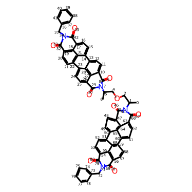 CC(COCC(C)N1C(=O)c2ccc3c4ccc5c6c(ccc(c7ccc(c2c37)C1=O)c64)C(=O)N(Cc1ccccc1)C5=O)N1C(=O)c2ccc3c4ccc5c6c(ccc(c7ccc(c2c37)C1=O)c64)C(=O)N(Cc1ccccc1)C5=O